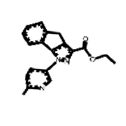 CCOC(=O)c1nn(-c2ccc(C)nc2)c2c1Cc1ccccc1-2